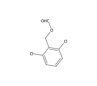 O=[C]OCc1c(Cl)cccc1Cl